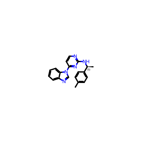 Cc1ccc([C@H](C)Nc2nccc(-n3cnc4ccccc43)n2)cc1